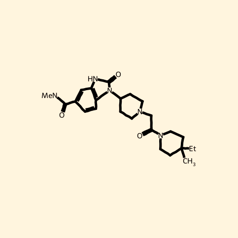 CCC1(C)CCN(C(=O)CN2CCC(n3c(=O)[nH]c4cc(C(=O)NC)ccc43)CC2)CC1